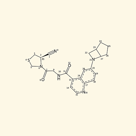 N#C[C@@H]1CSCN1C(=O)CNC(=O)c1ccnc2ccc(N3CC4CCCC43)cc12